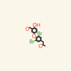 CC(=O)Cc1cc(Br)c(Oc2ccc(O)c(C=O)c2)c(Br)c1